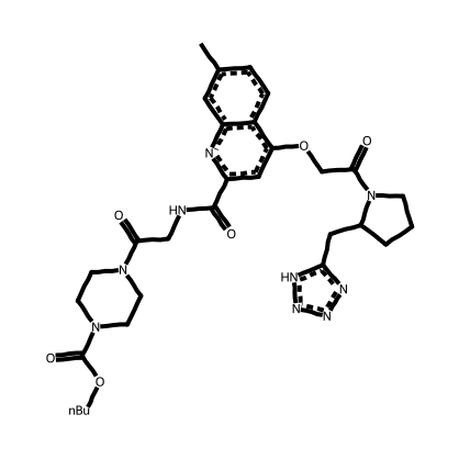 CCCCOC(=O)N1CCN(C(=O)CNC(=O)c2cc(OCC(=O)N3CCCC3Cc3nnn[nH]3)c3ccc(C)cc3n2)CC1